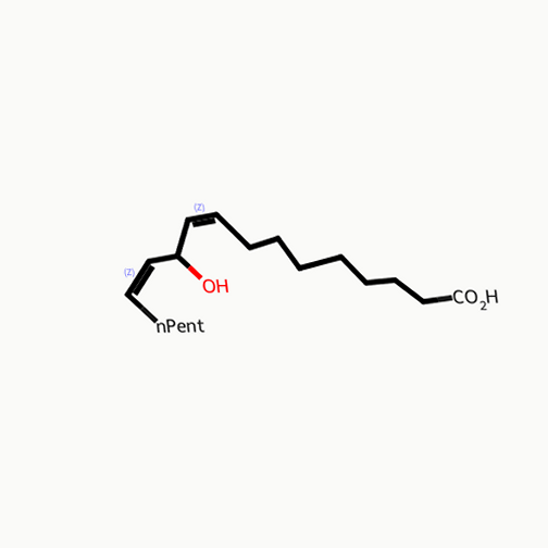 CCCCC/C=C\C(O)/C=C\CCCCCCCC(=O)O